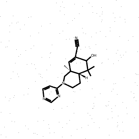 CC1(C)C(O)C(C#N)=C[C@]2(C)CN(c3ccncn3)CC[C@@H]12